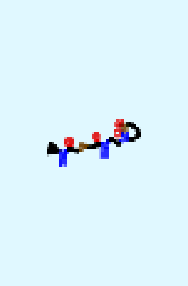 O=C(CSCC(=O)NC1CC1)NCCN1CCCCS1(=O)=O